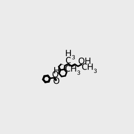 C[C@H](O)C/C=C/[C@H](C)[C@H]1CC[C@H]2C(OC(=O)c3ccccc3)CCC[C@]12C